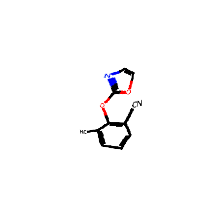 N#Cc1cccc(C#N)c1Oc1nc[c]o1